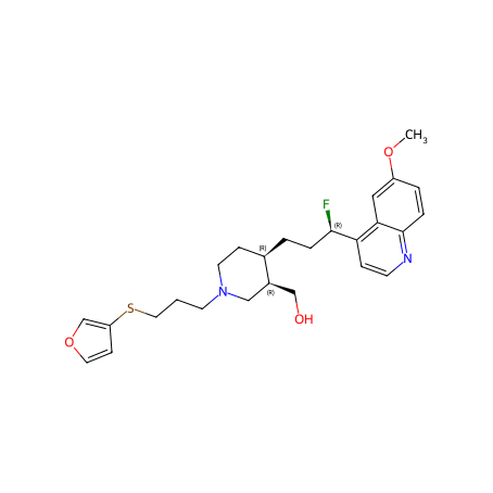 COc1ccc2nccc([C@H](F)CC[C@@H]3CCN(CCCSc4ccoc4)C[C@@H]3CO)c2c1